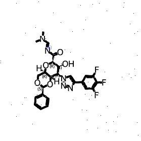 CN(C)/C=N/C(=O)[C@@H]1O[C@@H]2CO[C@H](c3ccccc3)O[C@@H]2[C@H](n2cc(-c3cc(F)c(F)c(F)c3)nn2)[C@H]1O